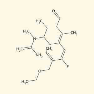 C=C(N)N(C)C(CC)CC(/C=C(F)\C(=C/C)COCC)=C(/C)CC=O